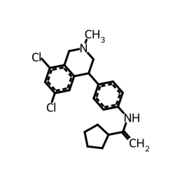 C=C(Nc1ccc(C2CN(C)Cc3c(Cl)cc(Cl)cc32)cc1)C1CCCC1